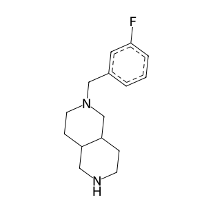 Fc1cccc(CN2CCC3CNCCC3C2)c1